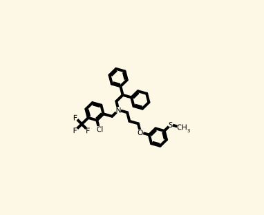 CSc1cccc(OCCCN(Cc2cccc(C(F)(F)F)c2Cl)CC(C2=CCCC=C2)c2ccccc2)c1